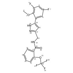 COc1c(F)cc(F)cc1-c1cc(CNC(=O)c2ccccc2OC(F)(F)F)n[nH]1